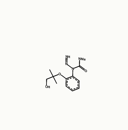 CNC(=O)N(N=N)c1ccccc1OC(C)(C)CO